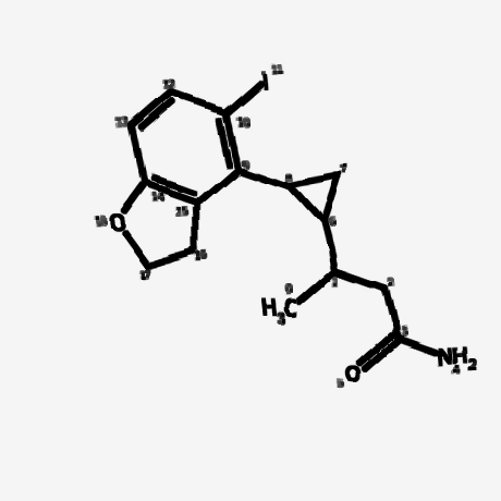 CC(CC(N)=O)C1CC1c1c(I)ccc2c1CCO2